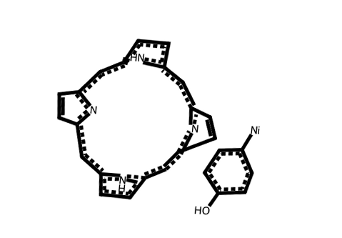 C1=Cc2cc3ccc(cc4nc(cc5ccc(cc1n2)[nH]5)C=C4)[nH]3.Oc1cc[c]([Ni])cc1